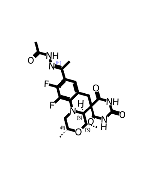 CC(=O)N/N=C(\C)c1cc2c(c(F)c1F)N1C[C@@H](C)O[C@@H](C)[C@@H]1C1(C2)C(=O)NC(=O)NC1=O